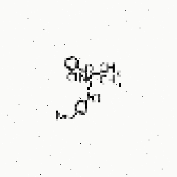 CC(C)c1oc(-c2ccccc2Cl)nc1CCC(=O)c1ccc(CC#N)cc1